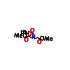 COC(=O)CCN(CCC(=O)OC)CC(=O)OC(C)(C)C